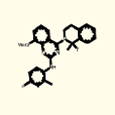 COc1cccc2c(N3CCc4ccccc4C3(C)F)nc(Nc3ccc(F)cc3C)nc12